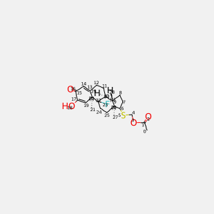 CC(=O)OCSC1CC[C@H]2[C@@H]3CCC4=CC(=O)C(O)=C[C@]4(C)C3(F)CC[C@]12C